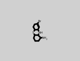 NC1CCCC2SC3CCC(Br)=CC3NC12